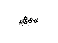 CC(F)(F)C(=O)NC1CC(=O)N(c2ccc3c(cnn3-c3ccc(F)c(F)c3)c2)C1c1ccccc1